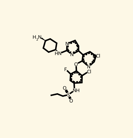 CCCS(=O)(=O)Nc1cc(F)c(Oc2ncccc2-c2ccnc(N[C@H]3CC[C@H](N)CC3)n2)c(Cl)c1.Cl